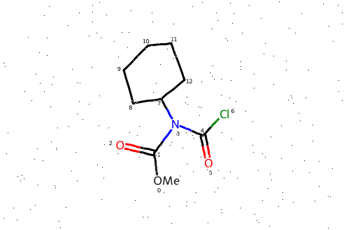 COC(=O)N(C(=O)Cl)C1CCCCC1